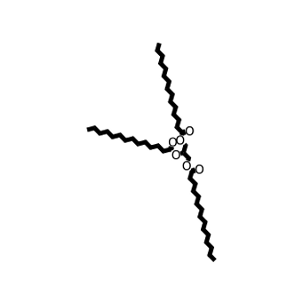 CCCCCCCCCCCCCCC(=O)OCC(COC(=O)CCCCCCCCCCCCCC)OC(=O)CCCCCCCCCCCCC